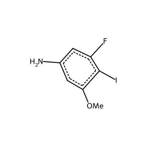 COc1cc(N)cc(F)c1I